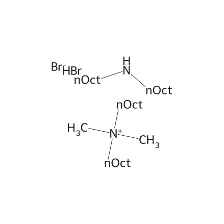 Br.CCCCCCCCNCCCCCCCC.CCCCCCCC[N+](C)(C)CCCCCCCC.[Br-]